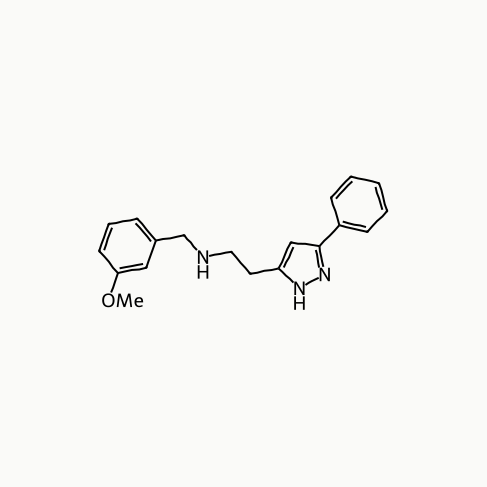 COc1cccc(CNCCc2cc(-c3ccccc3)n[nH]2)c1